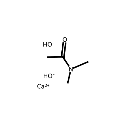 CC(=O)N(C)C.[Ca+2].[OH-].[OH-]